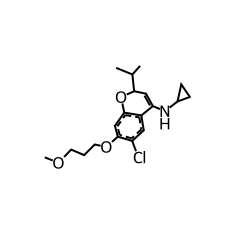 COCCCOc1cc2c(cc1Cl)C(NC1CC1)=CC(C(C)C)O2